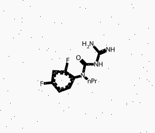 CCCN(C(=O)NC(=N)N)c1ccc(F)cc1F